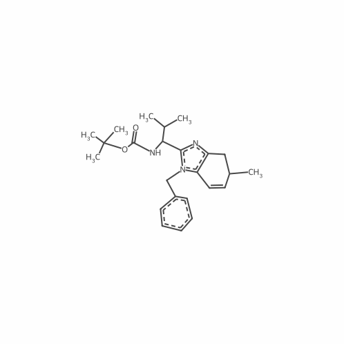 CC1C=Cc2c(nc(C(NC(=O)OC(C)(C)C)C(C)C)n2Cc2ccccc2)C1